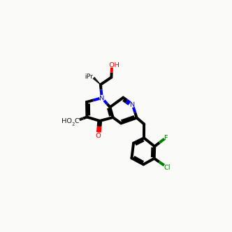 CC(C)[C@@H](CO)n1cc(C(=O)O)c(=O)c2cc(Cc3cccc(Cl)c3F)ncc21